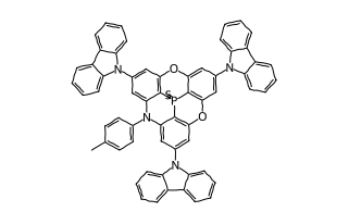 Cc1ccc(N2c3cc(-n4c5ccccc5c5ccccc54)cc4c3P3(=S)c5c(cc(-n6c7ccccc7c7ccccc76)cc5Oc5cc(-n6c7ccccc7c7ccccc76)cc2c53)O4)cc1